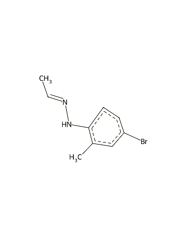 CC=NNc1ccc(Br)cc1C